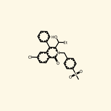 CCC(O)c1c(-c2ccccc2)c2cc(Cl)ccc2c(=O)n1Cc1ccc(S(C)(=O)=O)cc1